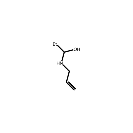 C=CCNC(O)CC